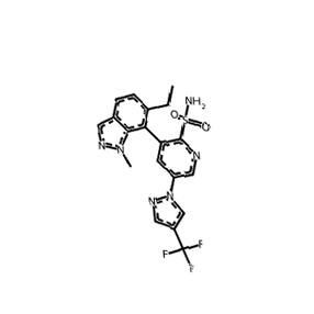 CCc1ccc2cnn(C)c2c1-c1cc(-n2cc(C(F)(F)F)cn2)cnc1S(N)(=O)=O